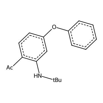 CC(=O)c1ccc(Oc2ccccc2)cc1NC(C)(C)C